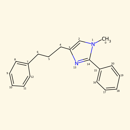 Cn1cc(CCCc2ccccc2)nc1-c1ccccc1